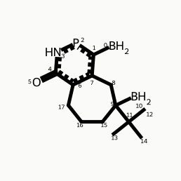 Bc1p[nH]c(=O)c2c1CC(B)(C(C)(C)C)CCC2